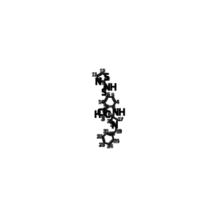 CC1(Nc2ccc(SNc3nccs3)cc2Cl)CN(Cc2ccccc2)C1